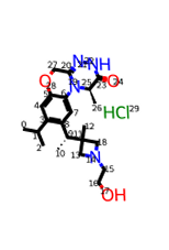 CC(C)c1cc2c(cc1[C@@H](C)C1(C)CN(CCO)C1)N1C(=NNC(=O)[C@H]1C)CO2.Cl